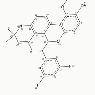 COc1c(O)ccc2c1-c1ccc3c(c1C(Cc1cc(F)cc(F)c1)O2)C(C)=CC(C)(C)N3